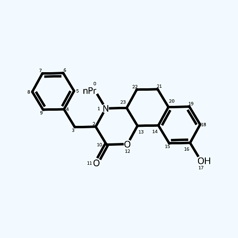 CCCN1C(Cc2ccccc2)C(=O)OC2c3cc(O)ccc3CCC21